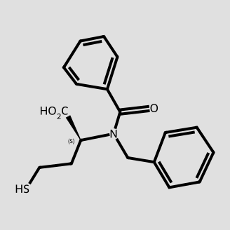 O=C(O)[C@H](CCS)N(Cc1ccccc1)C(=O)c1ccccc1